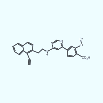 C#Cc1c(CCNc2cc(-c3ccc(C(=O)O)c(OCC)c3)ncn2)ccc2ccccc12